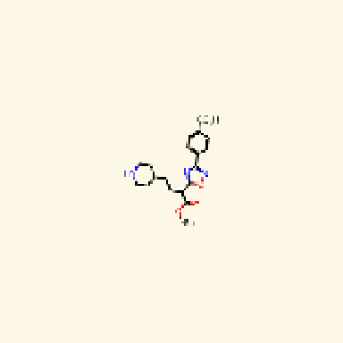 CC(C)(C)OC(=O)C(CCC1CCNCC1)c1nc(-c2ccc(C(=O)O)cc2)no1